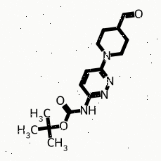 CC(C)(C)OC(=O)Nc1ccc(N2CCC(C=O)CC2)nn1